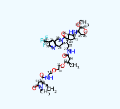 C=C[C@@H]1[C@@H](C(=O)NCCOCCOCC(C)CC(=O)NCCC[C@]2(C(=O)N3CCc4ncc(C(F)(F)F)cc4C3)CC[C@@H](N[C@H]3CCOC[C@H]3OC)C2)CC(=O)N1C